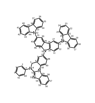 c1ccc(N2Cc3cc(-n4c5ccc(-n6c7ccccc7c7ccccc76)cc5c5cc(-n6c7ccccc7c7ccccc76)ccc54)ccc3-n3c2nc2ccccc23)cc1